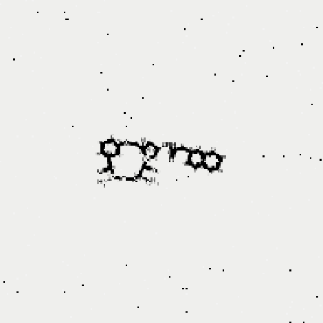 CN1CC[C@H](N)C(=O)N2C[C@@H](NC(=O)Cc3ccc4ccccc4c3)C[C@H]2COc2cccc(c2)C1=O